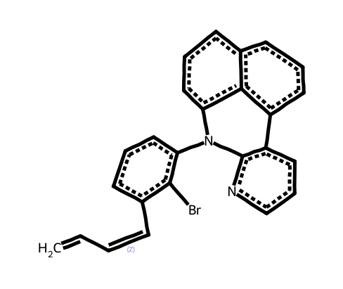 C=C/C=C\c1cccc(N2c3ncccc3-c3cccc4cccc2c34)c1Br